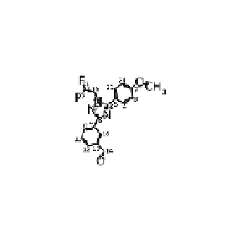 COc1ccc(-c2nc(-c3cccc(C=O)c3)nn2CC(F)F)cc1